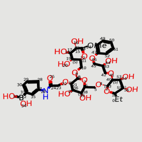 CCC1O[C@H](OCC2O[C@H](OCC3O[C@H](OC)[C@@H](O)C(O)[C@@H]3O)[C@@H](OCC(=O)Nc3cccc(B(O)O)c3)C(O)[C@@H]2O)[C@@H](OCC(O)COc2ccccc2)C(O)[C@@H]1O